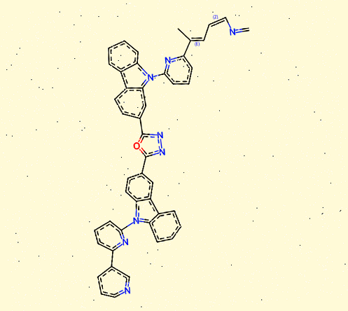 C=N/C=C\C=C(/C)c1cccc(-n2c3ccccc3c3ccc(-c4nnc(-c5ccc6c(c5)c5ccccc5n6-c5cccc(-c6cccnc6)n5)o4)cc32)n1